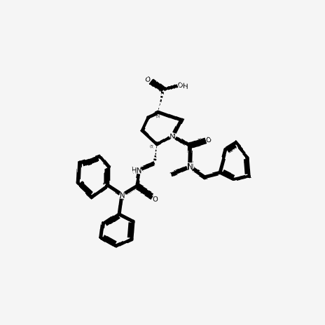 CN(Cc1ccccc1)C(=O)N1C[C@@H](C(=O)O)CC[C@H]1CNC(=O)N(c1ccccc1)c1ccccc1